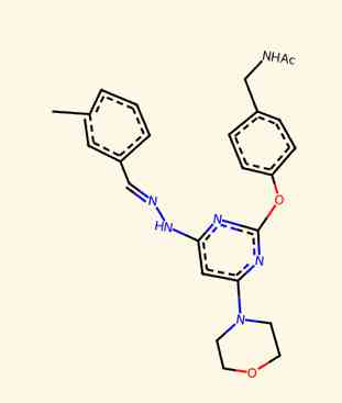 CC(=O)NCc1ccc(Oc2nc(N/N=C/c3cccc(C)c3)cc(N3CCOCC3)n2)cc1